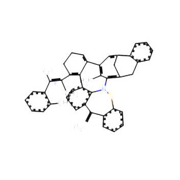 BC1=C2C=C3CC(=C1N1Sc4ccccc4C(=C)c4cccc(c41)C1=C(/C(C)=C(\C)c4ccccc4C)CCC=C21)Cc1ccccc13